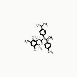 Cc1ccc([C@H](C)N(C(=O)Nc2c(C)c(N)cc(Cl)c2C)c2ccc(C(C)C)cc2)cc1